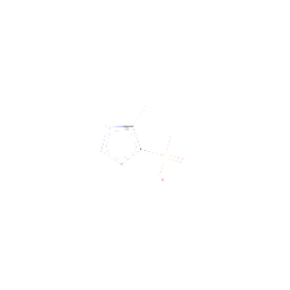 Cc1[nH]ccc1P(=O)(O)O